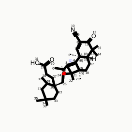 CC(=O)/C=C1/[C@@]2(C)C=C(C#N)C(=O)C(C)(C)[C@@H]2CC[C@@]1(C)C(C)(C)CC[C@@]1(CCC(=O)O)CCC(C)(C)CC1C